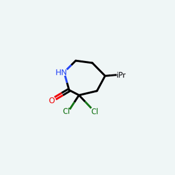 CC(C)C1CCNC(=O)C(Cl)(Cl)C1